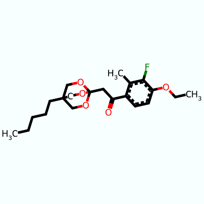 CCCCCC12COC(CC(=O)c3ccc(OCC)c(F)c3C)(OC1)OC2